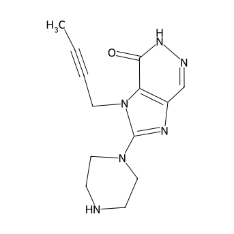 CC#CCn1c(N2CCNCC2)nc2cn[nH]c(=O)c21